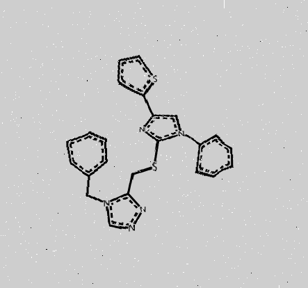 c1ccc(Cn2cnnc2CSc2nc(-c3cccs3)cn2-c2ccccc2)cc1